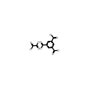 O=C(Cl)C(=O)Cl.O=C(Cl)c1cc(C(=O)Cl)cc(C(=O)Cl)c1